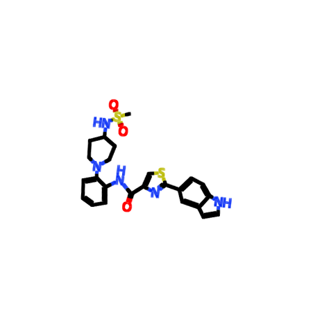 CS(=O)(=O)NC1CCN(c2ccccc2NC(=O)c2csc(-c3ccc4[nH]ccc4c3)n2)CC1